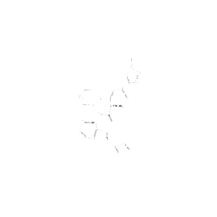 Cn1cc(-c2ccc(C(=O)N(c3nccc4sc(-c5ccsc5)cc34)[C@@H]3CCCNC3)c(F)c2)nn1